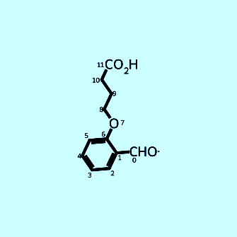 O=[C]c1ccccc1OCCCC(=O)O